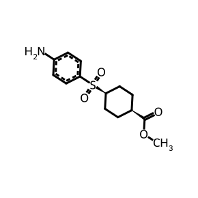 COC(=O)[C@H]1CC[C@@H](S(=O)(=O)c2ccc(N)cc2)CC1